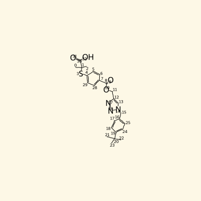 CC(C)(Sc1ccc(C(=O)OCc2cn(Cc3ccc(C(C)(C)C)cc3)nn2)cc1)C(=O)O